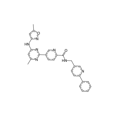 Cc1cc(Nc2cc(C)on2)nc(-c2ccc(C(=O)NCc3ccc(-c4ccccc4)nc3)nc2)n1